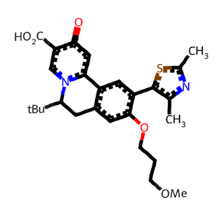 COCCCOc1cc2c(cc1-c1sc(C)nc1C)-c1cc(=O)c(C(=O)O)cn1C(C(C)(C)C)C2